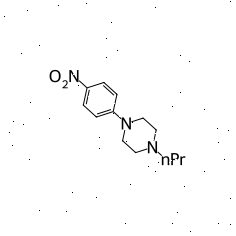 CCCN1CCN(c2ccc([N+](=O)[O-])cc2)CC1